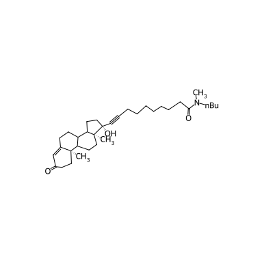 CCCCN(C)C(=O)CCCCCCCC#C[C@]1(O)CCC2C3CCC4=CC(=O)CC[C@]4(C)C3CC[C@@]21C